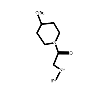 CC(C)COC1CCN(C(=O)CNC(C)C)CC1